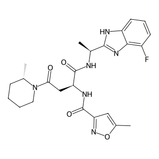 Cc1cc(C(=O)N[C@@H](CC(=O)N2CCCC[C@@H]2C)C(=O)N[C@@H](C)c2nc3c(F)cccc3[nH]2)no1